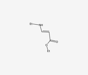 CCNC=CC(=O)OCC